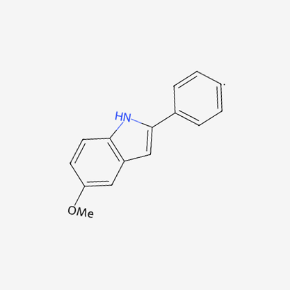 COc1ccc2[nH]c(-c3cc[c]cc3)cc2c1